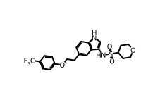 O=S(=O)(Nc1c[nH]c2ccc(CCOc3ccc(C(F)(F)F)cc3)cc12)C1CCOCC1